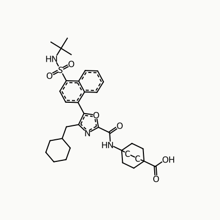 CC(C)(C)NS(=O)(=O)c1ccc(-c2oc(C(=O)NC34CCC(C(=O)O)(CC3)CC4)nc2CC2CCCCC2)c2ccccc12